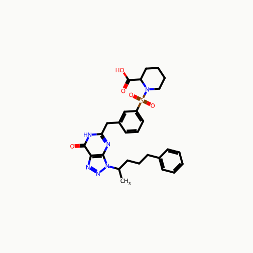 CC(CCCc1ccccc1)n1nnc2c(=O)[nH]c(Cc3cccc(S(=O)(=O)N4CCCCC4C(=O)O)c3)nc21